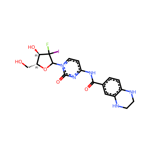 O=C(Nc1ccn(C2O[C@H](CO)[C@@H](O)C2(F)I)c(=O)n1)c1ccc2c(c1)NCCN2